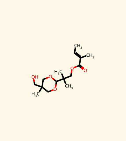 CC=C(C)C(=O)OCC(C)(C)C1OCC(C)(CO)CO1